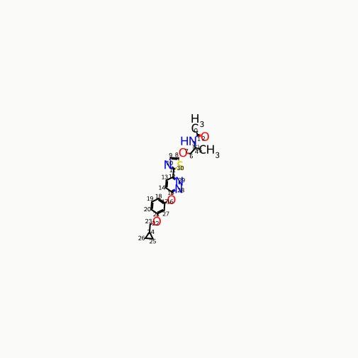 CC(=O)N[C@@H](C)COc1cnc(-c2ccc(Oc3cccc(OCC4CC4)c3)nn2)s1